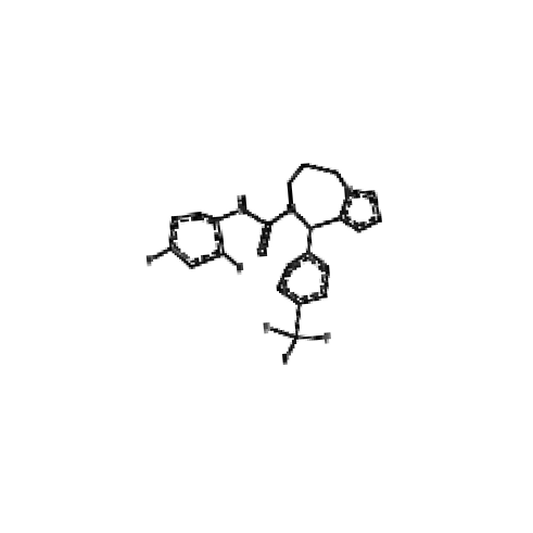 O=C(Nc1ccc(F)cc1F)N1CCCn2cccc2C1c1ccc(C(F)(F)F)cc1